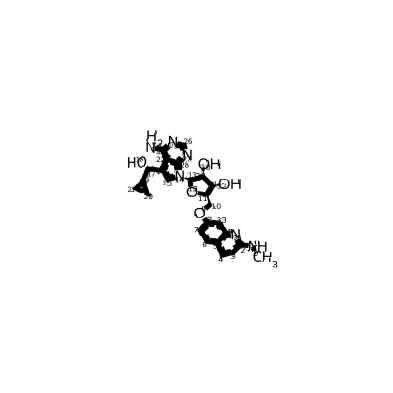 CNc1ccc2ccc(OC[C@H]3O[C@H](n4cc(C(O)C5CC5)c5c(N)ncnc54)[C@H](O)[C@@H]3O)cc2n1